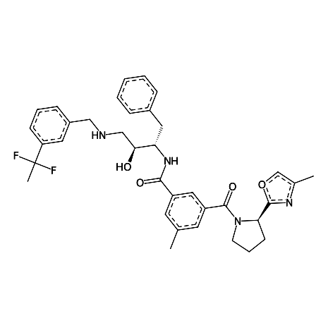 Cc1cc(C(=O)N[C@@H](Cc2ccccc2)[C@@H](O)CNCc2cccc(C(C)(F)F)c2)cc(C(=O)N2CCC[C@@H]2c2nc(C)co2)c1